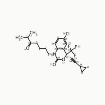 CC(C)C(=O)CCCCN1C(=O)O[C@](C#CC2CC2)(C(F)(F)F)c2cc(Cl)ccc21